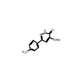 COc1cc(-c2ccc(C)cc2)n[nH]c1=O